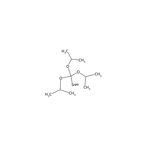 CC(C)O[C]([SnH])(OC(C)C)OC(C)C